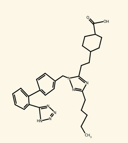 CCCCCc1nc(CCC2CCC(C(=O)O)CC2)n(Cc2ccc(-c3ccccc3-c3nnn[nH]3)cc2)n1